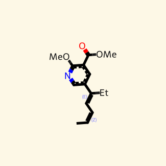 C/C=C\C=C(/CC)c1cnc(OC)c(C(=O)OC)c1